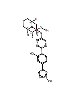 Cn1cc(-c2ccc(-c3ncc(O[C@@H]4C[C@H]5CCC[C@@H]([C@@H]4F)N5C(=O)OC(C)(C)C)nn3)c(O)c2)cn1